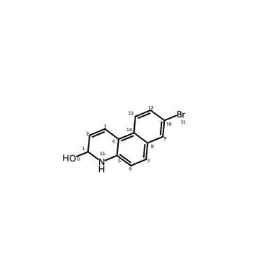 OC1C=Cc2c(ccc3cc(Br)ccc23)N1